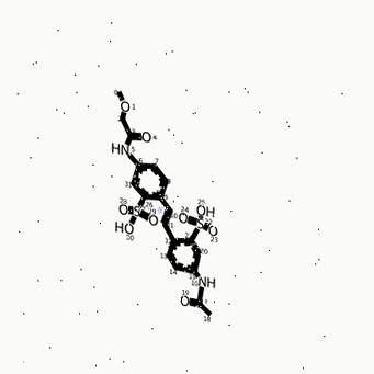 COCC(=O)Nc1ccc(/C=C/c2ccc(NC(C)=O)cc2S(=O)(=O)O)c(S(=O)(=O)O)c1